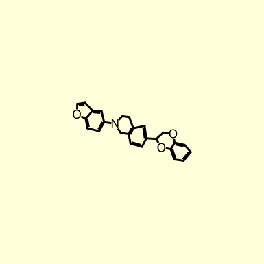 c1ccc2c(c1)OCC(c1ccc3c(c1)CCN(c1ccc4occc4c1)C3)O2